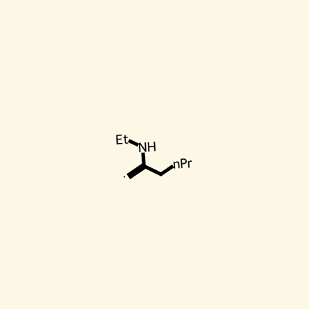 [CH]=C(CCCC)NCC